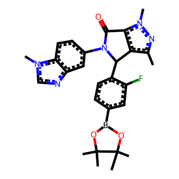 Cc1nn(C)c2c1C(c1ccc(B3OC(C)(C)C(C)(C)O3)cc1F)N(c1ccc3c(c1)ncn3C)C2=O